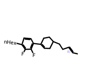 C/C=C/CCC1CC=C(c2ccc(CCCCCC)c(F)c2F)CC1